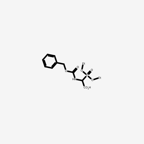 CCOP(=O)(OCC)C(NC(=O)OCc1ccccc1)C(=O)O